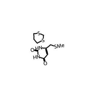 C1CSCSC1.CSCc1cc(=O)[nH]c(=O)[nH]1